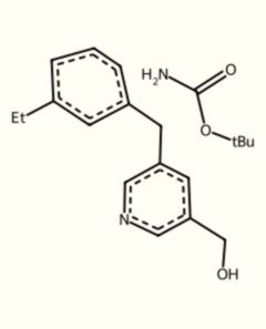 CC(C)(C)OC(N)=O.CCc1cccc(Cc2cncc(CO)c2)c1